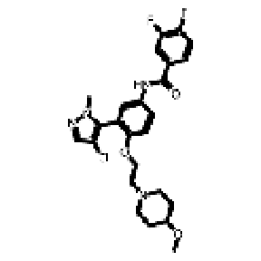 COC1CCN(CCOc2ccc(NC(=O)c3ccc(F)c(F)c3)cc2-c2c(Cl)cnn2C)CC1